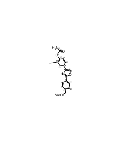 COCc1ccc(-c2nc(-c3ccc(OC(N)=O)c(F)c3)no2)cc1